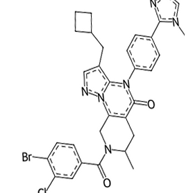 CC1Cc2c(n3ncc(CC4CCC4)c3n(-c3ccc(-c4nncn4C)cc3)c2=O)CN1C(=O)c1ccc(Br)c(Cl)c1